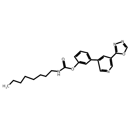 CCCCCCCCNC(=O)Oc1cccc(-c2cncc(-c3nnco3)c2)c1